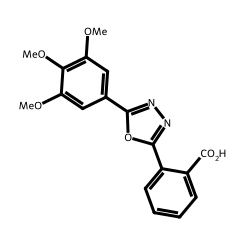 COc1cc(-c2nnc(-c3ccccc3C(=O)O)o2)cc(OC)c1OC